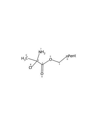 CCCCCCOC(=O)C(C)(N)Cl